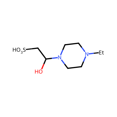 CCN1CCN(C(O)CS(=O)(=O)O)CC1